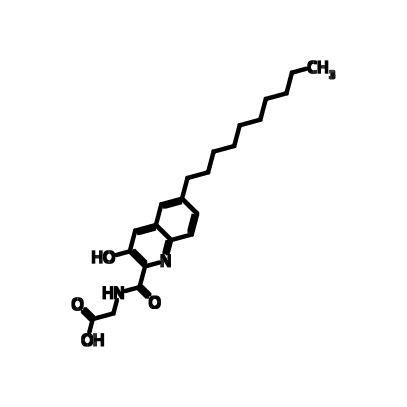 CCCCCCCCCCc1ccc2nc(C(=O)NCC(=O)O)c(O)cc2c1